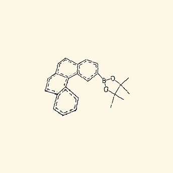 CC1(C)OB(c2ccc3ccc4ccc5ccccc5c4c3c2)OC1(C)C